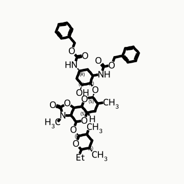 CCC1O[C@H](OC2O[C@H]3CC(C)[C@@H](O[C@@H]4C(NC(=O)OCc5ccccc5)C[C@@H](NC(=O)OCc5ccccc5)C[C@H]4O)OC3C3OC(=O)N(C)C23)C(C)C[C@@H]1C